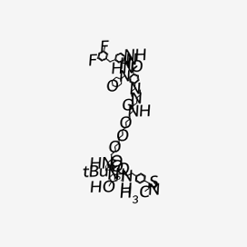 Cc1ncsc1-c1ccc(CNC(=O)[C@@H]2CC(O)CN2C(=O)[C@@H](NC(=O)CCOCCOCCOCCNC(=O)CN2CCN(c3ccc(C(=O)Nc4n[nH]c5ccc(Cc6cc(F)cc(F)c6)cc45)c(NC4CCOCC4)c3)CC2)C(C)(C)C)cc1